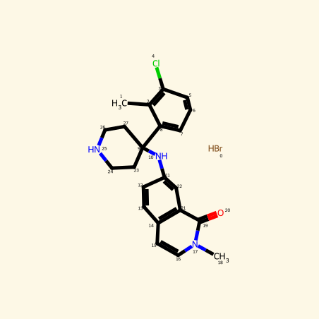 Br.Cc1c(Cl)cccc1C1(Nc2ccc3ccn(C)c(=O)c3c2)CCNCC1